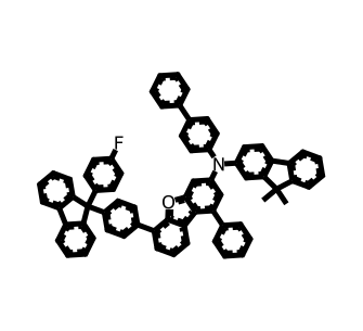 CC1(C)c2ccccc2-c2ccc(N(c3ccc(-c4ccccc4)cc3)c3cc(-c4ccccc4)c4c(c3)oc3c(-c5ccc(C6(c7ccc(F)cc7)c7ccccc7-c7ccccc76)cc5)cccc34)cc21